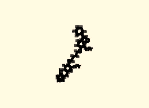 CCCc1cc(Cc2nnn[nH]2)ccc1SCCCCOc1ccc2c(-c3ccccc3)coc2c1CCC